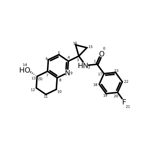 O=C(NC1(c2ccc3c(n2)CCC[C@@H]3O)CC1)c1ccc(F)cc1